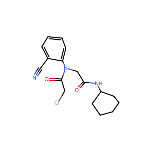 N#Cc1ccccc1N(CC(=O)NC1CCCCC1)C(=O)CCl